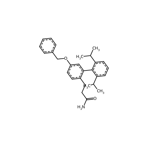 CC(C)c1cccc(C(C)C)c1-c1cc(OCc2ccccc2)ccc1CCC(N)=O